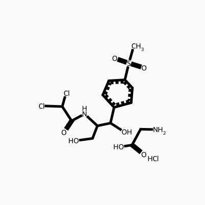 CS(=O)(=O)c1ccc(C(O)C(CO)NC(=O)C(Cl)Cl)cc1.Cl.NCC(=O)O